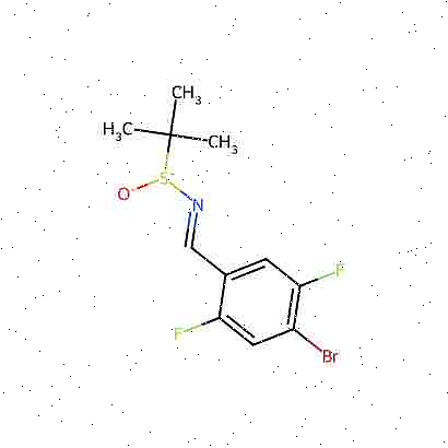 CC(C)(C)[S+]([O-])N=Cc1cc(F)c(Br)cc1F